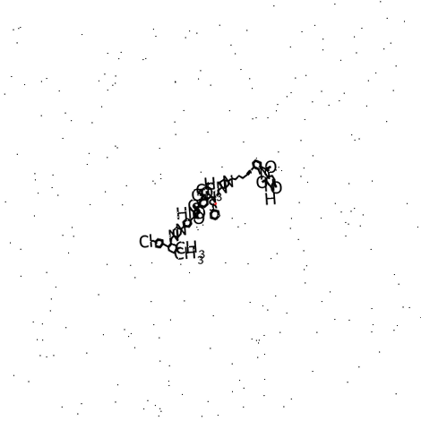 CC1(C)CCC(c2ccc(Cl)cc2)=C(CN2CCN(c3ccc(C(=O)NS(=O)(=O)c4ccc(NC(CCN5CCN(CCCCC#Cc6cccc7c6CN(C6CCC(=O)NC6=O)C7=O)CC5)CSc5ccccc5)c(S(=O)(=O)C(F)(F)F)c4)cc3)CC2)C1